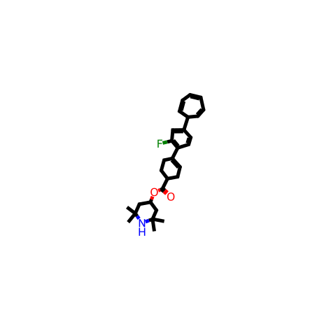 CC1(C)CC(OC(=O)C2CC=C(c3ccc(C4C=CC=CC=C4)cc3F)CC2)CC(C)(C)N1